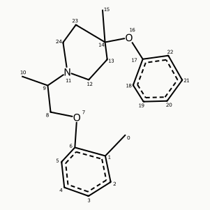 Cc1ccccc1OCC(C)N1CCC(C)(Oc2ccccc2)CC1